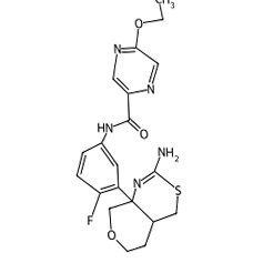 CCOc1cnc(C(=O)Nc2ccc(F)c(C34COCCC3CSC(N)=N4)c2)cn1